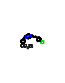 CCOC(=O)c1ccc(CN2CCN(C/C=C/c3ccc(Cl)cc3)CC2)cc1